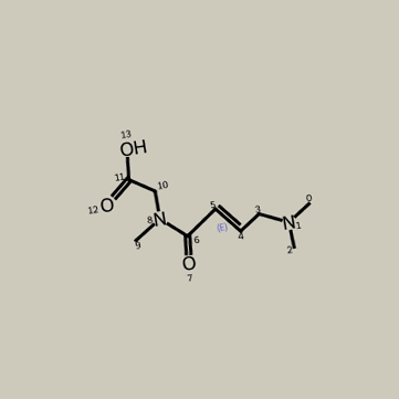 CN(C)C/C=C/C(=O)N(C)CC(=O)O